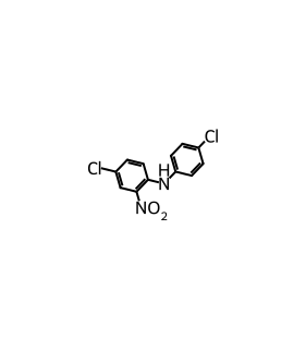 O=[N+]([O-])c1cc(Cl)ccc1Nc1ccc(Cl)cc1